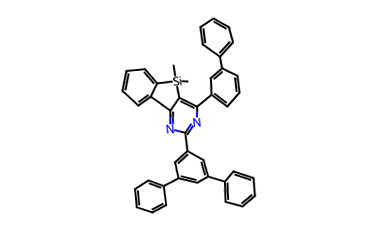 C[Si]1(C)c2ccccc2-c2nc(-c3cc(-c4ccccc4)cc(-c4ccccc4)c3)nc(-c3cccc(-c4ccccc4)c3)c21